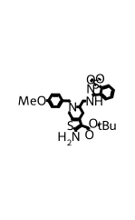 COc1ccc(CN2Cc3sc(N)c(C(=O)OC(C)(C)C)c3CC2CNC2=NS(=O)(=O)c3ccccc32)cc1